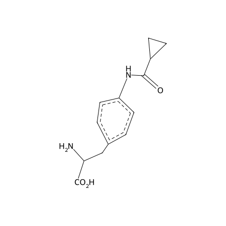 NC(Cc1ccc(NC(=O)C2CC2)cc1)C(=O)O